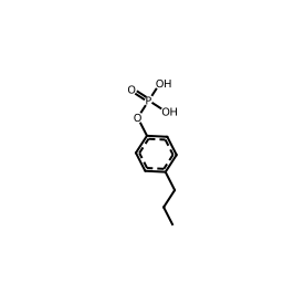 CCCc1ccc(OP(=O)(O)O)cc1